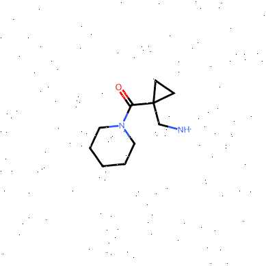 [NH]CC1(C(=O)N2CCCCC2)CC1